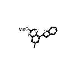 COc1cnc2c(-c3cc4ccccc4o3)cc(C)cc2n1